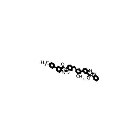 Cc1ccc(-c2ccc3nc4sc5cc(Cc6cc(C)cc(-c7ccc8nc9sc%10ccccc%10n9c(=O)c8c7)c6)ccc5n4c(=O)c3c2)cc1